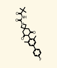 Cc1cc(-c2ccc(F)cc2)cc(C)c1C1C(=O)CC2(CC1=O)CN(C(=O)NC(=O)C(C)(C)C)C2